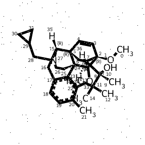 CO[C@]12C=C[C@@]3(C[C@@H]1[C@](C)(O)C(C)(C)C)[C@H]1Cc4ccc(C)c5c4[C@@]3(CCN1CC1CC1)[C@H]2O5